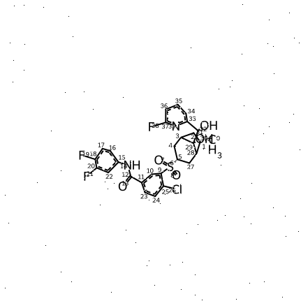 C[C@H]1CC2C[C@@H](S(=O)(=O)c3cc(C(=O)Nc4ccc(F)c(F)c4)ccc3Cl)CC1[C@@]2(O)[C@H](O)c1cccc(F)n1